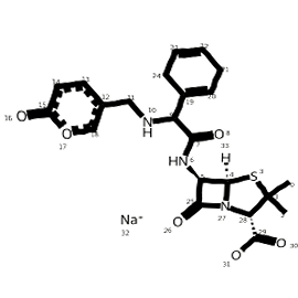 CC1(C)S[C@@H]2[C@H](NC(=O)C(NCc3ccc(=O)oc3)C3=CCC=CC3)C(=O)N2[C@H]1C(=O)[O-].[Na+]